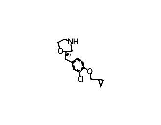 Clc1cc(C[C@@H]2CNCCO2)ccc1OCC1CC1